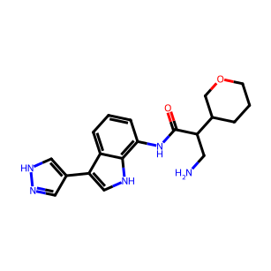 NCC(C(=O)Nc1cccc2c(-c3cn[nH]c3)c[nH]c12)C1CCCOC1